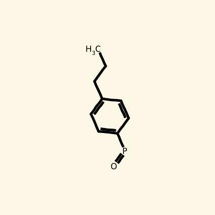 CCCc1ccc(P=O)cc1